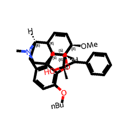 CCCCOc1ccc2c3c1O[C@H]1[C@@]4(OC)C=C[C@@]5(C[C@@]46C(c4ccccc4)[C@]6(C)O)[C@@H](C2)N(C)CC[C@]315